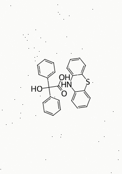 O=C(O)C(O)(c1ccccc1)c1ccccc1.c1ccc2c(c1)Nc1ccccc1S2